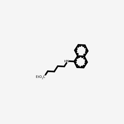 CCOC(=O)CCCCNc1cccc2ccccc12